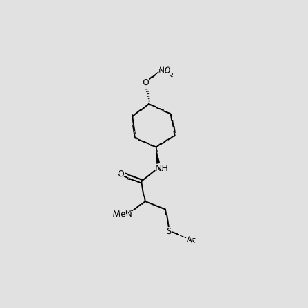 CNC(CSC(C)=O)C(=O)N[C@H]1CC[C@H](O[N+](=O)[O-])CC1